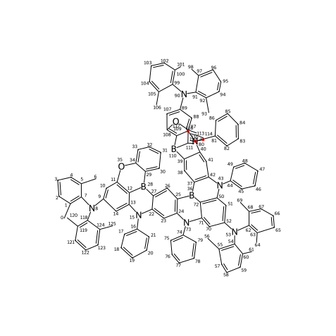 Cc1cccc(C)c1N(c1cc2c3c(c1)N(c1ccccc1)c1cc4c(cc1B3c1ccccc1O2)B1c2cc3c(cc2N(c2ccccc2)c2cc(N(c5c(C)cccc5C)c5c(C)cccc5C)cc(c21)N4c1ccccc1)N(c1ccccc1)c1cc(N(c2c(C)cccc2C)c2c(C)cccc2C)cc2c1B3c1ccccc1O2)c1c(C)cccc1C